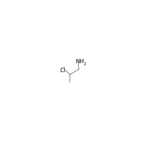 CC(Cl)CN